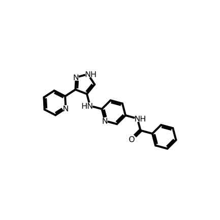 O=C(Nc1ccc(Nc2c[nH]nc2-c2ccccn2)nc1)c1ccccc1